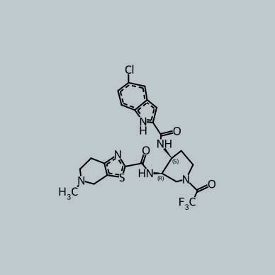 CN1CCc2nc(C(=O)N[C@@H]3CN(C(=O)C(F)(F)F)CC[C@@H]3NC(=O)c3cc4cc(Cl)ccc4[nH]3)sc2C1